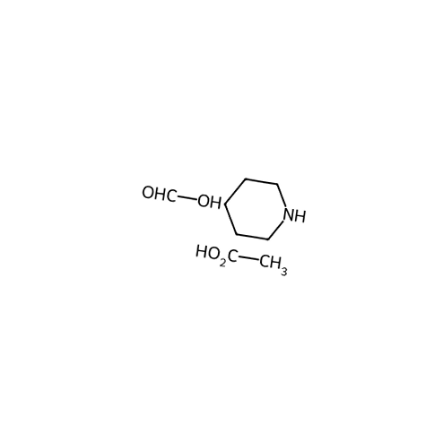 C1CCNCC1.CC(=O)O.O=CO